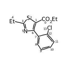 CCOC(=O)c1sc(CC)nc1-c1ccccc1Cl